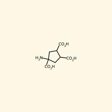 NC1(C(=O)O)CC(C(=O)O)C(C(=O)O)C1